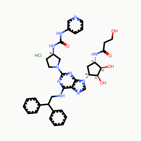 Cl.O=C(CCO)N[C@H]1C[C@@H](n2cnc3c(NCC(c4ccccc4)c4ccccc4)nc(N4CC[C@@H](NC(=O)Nc5cccnc5)C4)nc32)[C@H](O)[C@@H]1O